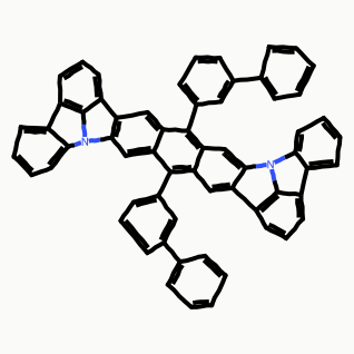 c1ccc(-c2cccc(-c3c4cc5c6cccc7c8ccccc8n(c5cc4c(-c4cccc(-c5ccccc5)c4)c4cc5c8cccc9c%10ccccc%10n(c5cc34)c98)c76)c2)cc1